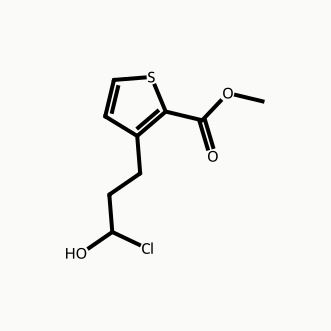 COC(=O)c1sccc1CCC(O)Cl